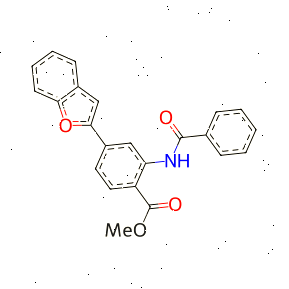 COC(=O)c1ccc(-c2cc3ccccc3o2)cc1NC(=O)c1ccccc1